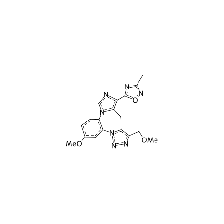 COCc1nnn2c1Cc1c(-c3nc(C)no3)ncn1-c1ccc(OC)cc1-2